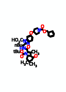 CCCC[C@H](NC(=O)c1c(C)c2c(n1C(=O)OC(C)(C)C)CC(C)(C)CC2=O)c1nc2ccc(OC3CCN(C(=O)OCc4ccccc4)CC3)cc2n1C(=O)O